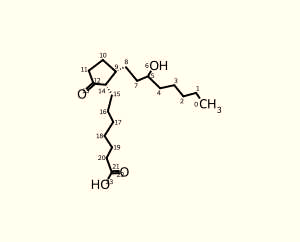 CCCCCC(O)CC[C@H]1CCC(=O)[C@H]1CCCCCCC(=O)O